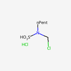 CCCCCN(CCl)S(=O)(=O)O.Cl